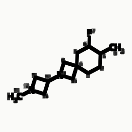 CC1CCC2(CC1F)CN(C1CN(C)C1)C2